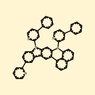 c1ccc(-c2ccnc(N3c4cc5c(cc4-c4cccc6cccc3c46)c3cc(-c4ccccn4)ccc3n5-c3cc(-c4ccccc4)ccn3)c2)cc1